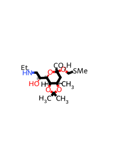 CCNC[C@@H](O)[C@H]1OC(OCSC)(C(=O)O)C[C@@]2(C)OC(C)(C)O[C@@H]12